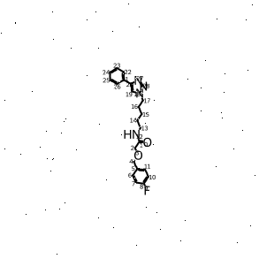 O=C(COCc1ccc(F)cc1)NCCCCCn1cc(-c2ccccc2)nn1